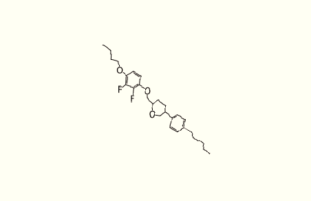 CCCCCc1ccc(C2CCC(COc3ccc(OCCCC)c(F)c3F)OC2)cc1